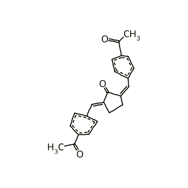 CC(=O)c1ccc(/C=C2/CC/C(=C\c3ccc(C(C)=O)cc3)C2=O)cc1